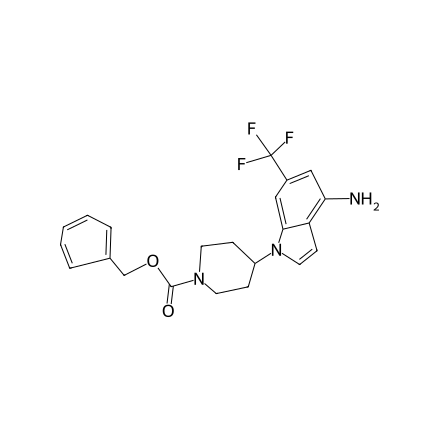 Nc1cc(C(F)(F)F)cc2c1ccn2C1CCN(C(=O)OCc2ccccc2)CC1